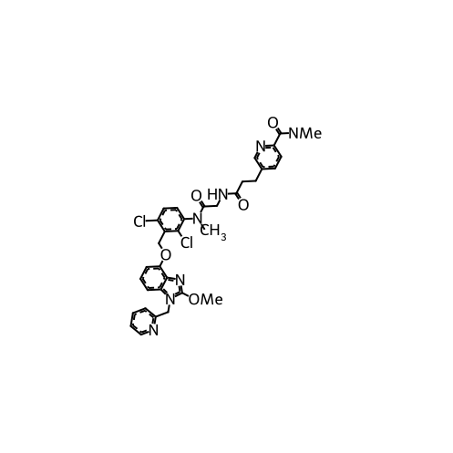 CNC(=O)c1ccc(CCC(=O)NCC(=O)N(C)c2ccc(Cl)c(COc3cccc4c3nc(OC)n4Cc3ccccn3)c2Cl)cn1